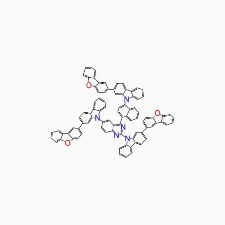 c1ccc2c(c1)oc1ccc(-c3ccc4c5ccccc5n(-c5ccc6nc(-n7c8ccccc8c8ccc(-c9ccc%10oc%11ccccc%11c%10c9)cc87)nc(-c7ccc(-n8c9ccccc9c9ccc(-c%10ccc%11oc%12ccccc%12c%11c%10)cc98)c8ccccc78)c6c5)c4c3)cc12